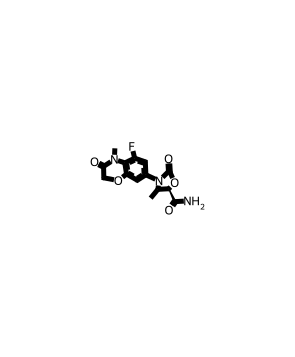 CC1[C@H](C(N)=O)OC(=O)N1c1cc(F)c2c(c1)OCC(=O)N2C